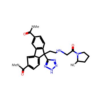 CNC(=O)c1ccc2c(c1)-c1cc(C(=O)NC)ccc1C2(CCNCC(=O)N1CCCC1C#N)c1nn[nH]n1